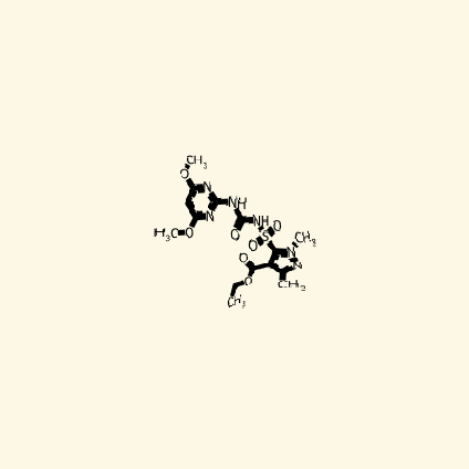 CCOC(=O)c1c(C)nn(C)c1S(=O)(=O)NC(=O)Nc1nc(OC)cc(OC)n1